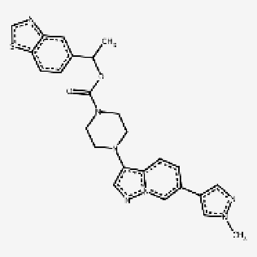 CC(OC(=O)N1CCN(c2cnn3cc(-c4cnn(C)c4)ccc23)CC1)c1ccc2scnc2c1